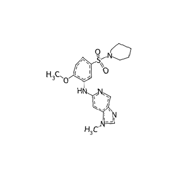 COc1ccc(S(=O)(=O)N2CCCCC2)cc1Nc1cc2c(cn1)ncn2C